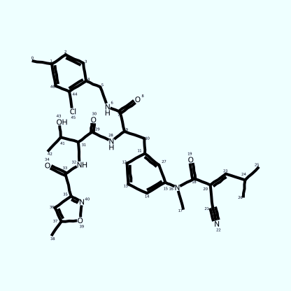 Cc1ccc(CNC(=O)C(Cc2cccc(N(C)C(=O)C(C#N)=CC(C)C)c2)NC(=O)C(NC(=O)c2cc(C)on2)C(C)O)c(Cl)c1